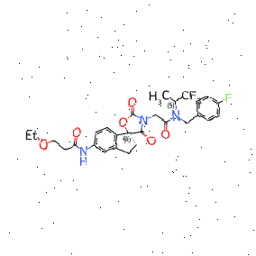 CCOCCC(=O)Nc1ccc2c(c1)CC[C@@]21OC(=O)N(CC(=O)N(Cc2ccc(F)cc2)[C@@H](C)C(F)(F)F)C1=O